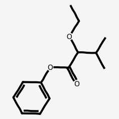 CCOC(C(=O)Oc1ccccc1)C(C)C